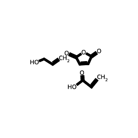 C=CC(=O)O.C=CCO.O=C1C=CC(=O)O1